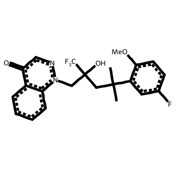 COc1ccc(F)cc1C(C)(C)CC(O)(Cn1ncc(=O)c2ccccc21)C(F)(F)F